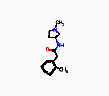 Cc1ccccc1CC(=O)N[C@H]1CCN(C)C1